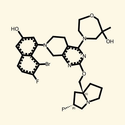 CC1(O)COCCN(c2nc(OC[C@@]34CCCN3C[C@H](F)C4)nc3c2CCN(c2cc(O)cc4ccc(F)c(Br)c24)C3)C1